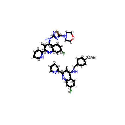 COc1ccc(CNc2c(C)c(-c3ccccn3)nc3cc(F)ccc23)cc1.Cc1c(-c2ccccn2)nc2cc(F)ccc2c1Nc1nsc(N2CCOCC2)n1